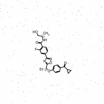 CC[C@@H](Oc1ccc(C(=O)C2CC2)cc1)c1nc(-c2ccc(C(=O)N[C@@H](C)CO)c(F)c2)no1